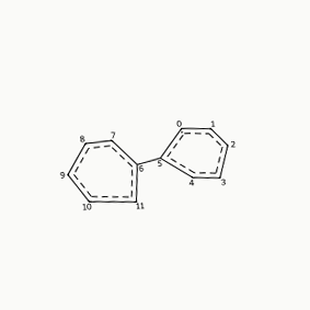 [c]1ccccc1-c1ccccc1